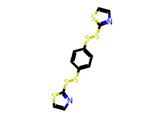 c1csc(SSc2ccc(SSc3nccs3)cc2)n1